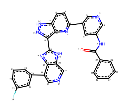 O=C(Nc1cncc(-c2ccc3[nH]nc(-c4nc5c(-c6cccc(F)c6)cncc5[nH]4)c3n2)c1)c1ccccc1